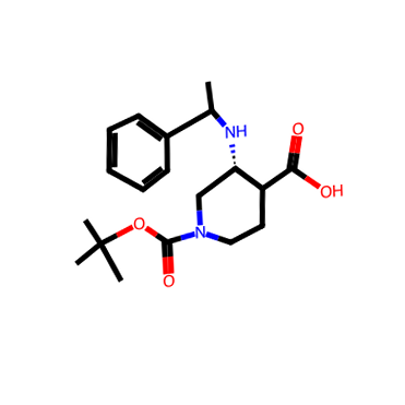 CC(N[C@H]1CN(C(=O)OC(C)(C)C)CCC1C(=O)O)c1ccccc1